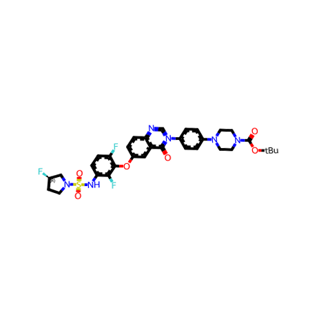 CC(C)(C)OC(=O)N1CCN(c2ccc(-n3cnc4ccc(Oc5c(F)ccc(NS(=O)(=O)N6CC[C@@H](F)C6)c5F)cc4c3=O)cc2)CC1